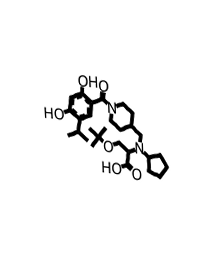 CC(C)c1cc(C(=O)N2CCC(CN(C3CCCC3)C(COC(C)(C)C)C(=O)O)CC2)c(O)cc1O